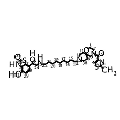 Cc1nc(C(=O)N2CCOC3(CCN(CCCCCCCCCNC[C@H](O)c4ccc(O)c5[nH]c(=O)sc45)CC3)C2)cs1